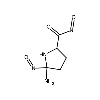 NC1(N=O)CCC(C(=O)N=O)N1